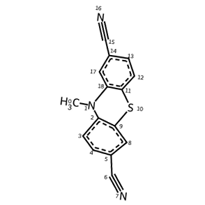 CN1c2ccc(C#N)cc2Sc2ccc(C#N)cc21